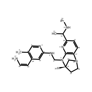 Cc1cnc(NCN2c3nc(C(O)NC(C)C)ccc3N3CC[C@H]2C3)cc1/C=C\N